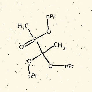 CCCOC(C)(OCCC)P(C)(=O)OCCC